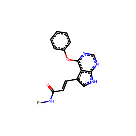 CCNC(=O)C=Cc1c[nH]c2ncnc(Oc3ccccc3)c12